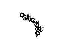 Cc1ccc(S(=O)(=O)Nc2cnc(N3CCc4nc(C(=O)Nc5ccccc5N)sc4C3)nc2)cc1